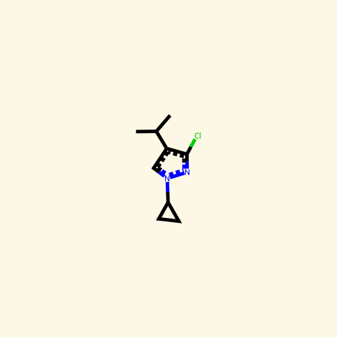 CC(C)c1cn(C2CC2)nc1Cl